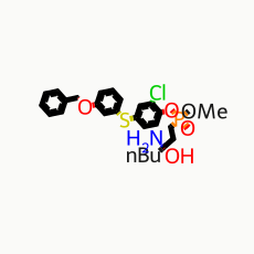 CCCCC(N)(O)CCP(=O)(OC)Oc1ccc(Sc2cccc(OCc3ccccc3)c2)cc1Cl